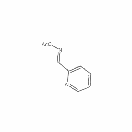 CC(=O)O/N=C/c1ccccn1